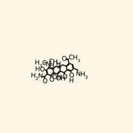 CC(=O)c1cc(CN)c(O)c2c1C[C@H]1C[C@H]3[C@H](N(C)C)C(O)=C(C(N)=O)C(=O)[C@]3(O)C(O)=C1C2=O